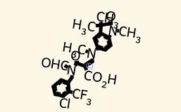 CN(/C=C(/C(=O)O)C(=O)N(C=O)Cc1cccc(Cl)c1C(F)(F)F)c1ccc2c(c1)C(C)(C)C(=O)N2C